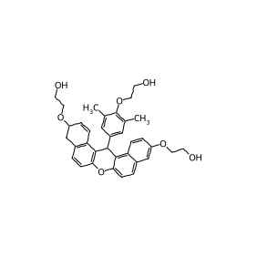 Cc1cc(C2c3c(ccc4c3C=CC(OCCO)C4)Oc3ccc4cc(OCCO)ccc4c32)cc(C)c1OCCO